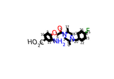 CC1CN(C(=O)COc2ccc(C(=O)O)cc2N)C(C)CN1Cc1ccc(F)cc1